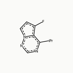 CC(C)c1ncnn2ccc(F)c12